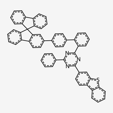 c1ccc(-c2nc(-c3ccc4c(c3)sc3ccccc34)nc(-c3ccccc3-c3ccc(-c4ccc5c(c4)C4(c6ccccc6-c6ccccc64)c4ccccc4-5)cc3)n2)cc1